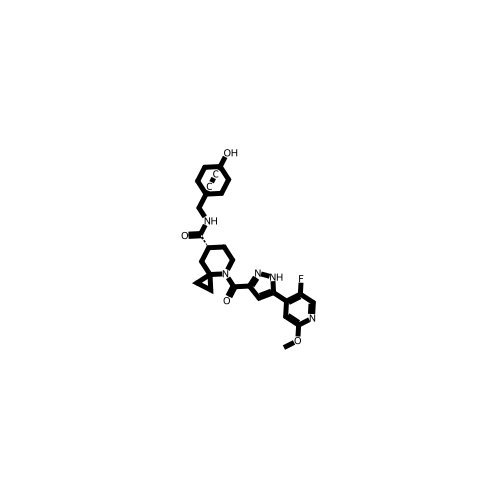 COc1cc(-c2cc(C(=O)N3CC[C@@H](C(=O)NCC45CCC(O)(CC4)CC5)CC34CC4)n[nH]2)c(F)cn1